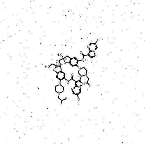 C[C@]1(CO)Cc2cc(NC(=O)c3c(C4CN(c5cc6c(cc5NC(=O)c5cnn7cc(Cl)cnc57)C[C@@](C)(CO)O6)CCN4CC(F)F)nn4cc(Cl)cnc34)c(N3CCN(CC(F)F)CC3)cc2O1